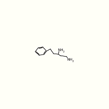 NCCC(N)CCc1ccccc1